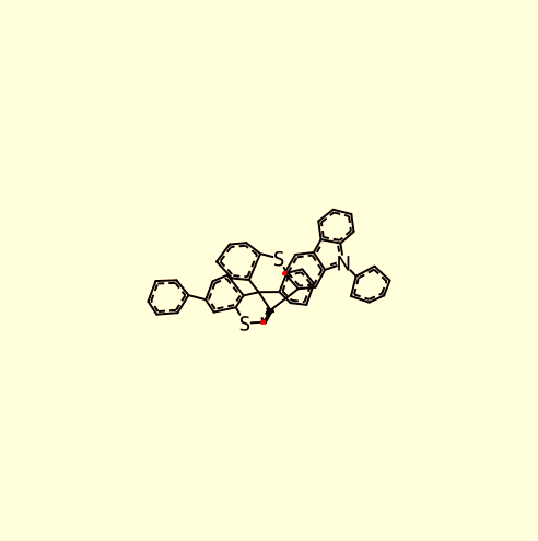 c1ccc(-c2ccc3c(c2)Sc2cccc(-c4ccc5c6ccccc6n(-c6ccccc6)c5c4)c2C32c3ccccc3Sc3ccccc32)cc1